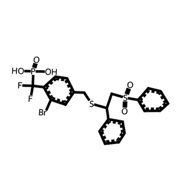 O=P(O)(O)C(F)(F)c1ccc(CSC(CS(=O)(=O)c2ccccc2)c2ccccc2)cc1Br